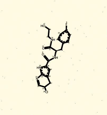 O=C(N[C@H](Cc1ccc(F)cc1)C(=O)NCCO)c1cc2c([nH]1)N=CC(Cl)C2